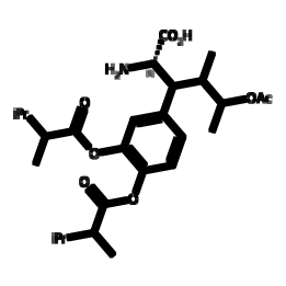 CC(=O)OC(C)C(C)C(c1ccc(OC(=O)C(C)C(C)C)c(OC(=O)C(C)C(C)C)c1)[C@H](N)C(=O)O